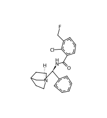 O=C(N[C@@H](c1ccccc1)[C@@H]1CC2CCN1CC2)c1cccc(CF)c1Cl